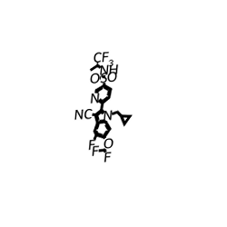 C[C@@H](NS(=O)(=O)c1ccc(-c2c(C#N)c3cc(F)c(OC(F)F)cc3n2CC2CC2)nc1)C(F)(F)F